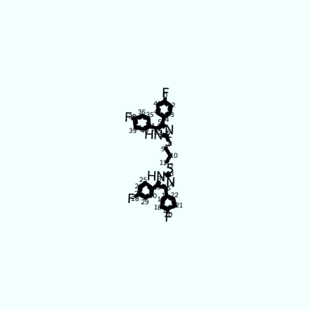 Fc1ccc(-c2nc(SCCCSc3nc(-c4ccc(F)cc4)c(-c4ccc(F)cc4)[nH]3)[nH]c2-c2ccc(F)cc2)cc1